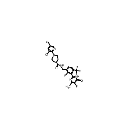 Cc1nc(-c2c(C(F)(F)F)ccc(CNC(=O)C3CCN(c4ncc(Cl)cc4Cl)CC3)c2F)[nH]c(=O)c1F